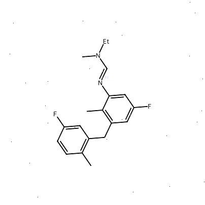 CCN(C)/C=N/c1cc(F)cc(Cc2cc(F)ccc2C)c1C